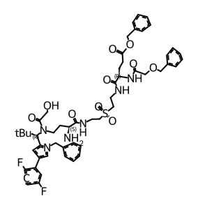 CC(C)(C)[C@H](c1cc(-c2cc(F)ccc2F)cn1Cc1ccccc1)N(CC[C@H](N)C(=O)NCCS(=O)(=O)CCNC(=O)[C@@H](CCC(=O)OCc1ccccc1)NC(=O)COCc1ccccc1)C(=O)CO